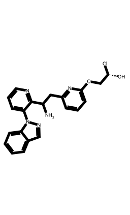 NC(Cc1cccc(OC[C@@H](O)Cl)n1)c1ncccc1-n1ncc2ccccc21